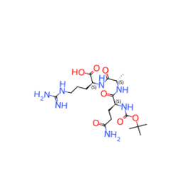 C[C@H](NC(=O)[C@H](CCC(N)=O)NC(=O)OC(C)(C)C)C(=O)N[C@@H](CCCNC(=N)N)C(=O)O